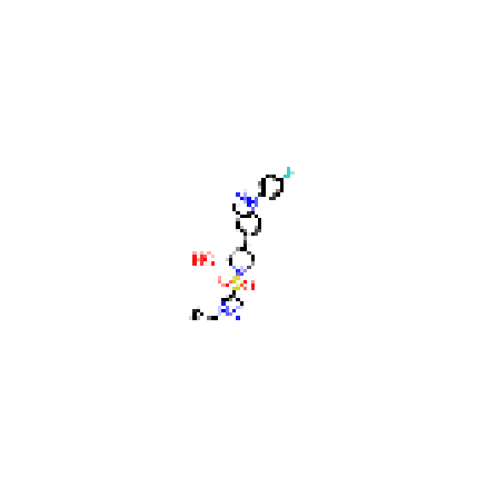 O=S(=O)(c1cnn(CC2CC2)c1)N1CC[C@H](c2ccc3c(cnn3-c3ccc(F)cc3)c2)C[C@H]1CO